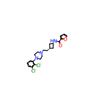 O=C(N[C@H]1C[C@H](CCN2CCN(c3cccc(Cl)c3Cl)CC2)C1)c1ccco1